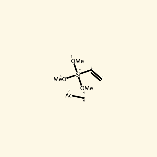 C=C[Si](OC)(OC)OC.CC(C)=O